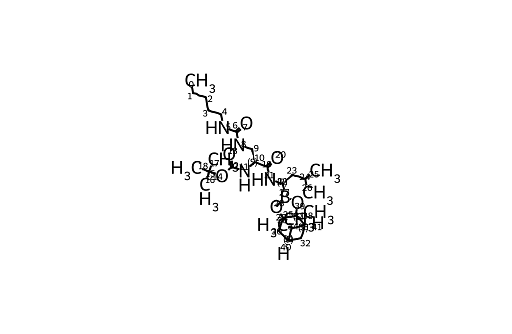 CCCCCNC(=O)NC[C@H](NC(=O)OC(C)(C)C)C(=O)N[C@@H](CC(C)C)B1OC2C[C@@H]3C[C@@H](C3(C)C)[C@]2(C)O1